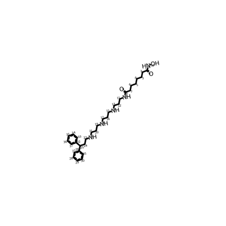 O=C(CCCCCCC(=O)NCCCNCCCNCCCNCCC(c1ccccc1)c1ccccc1)NO